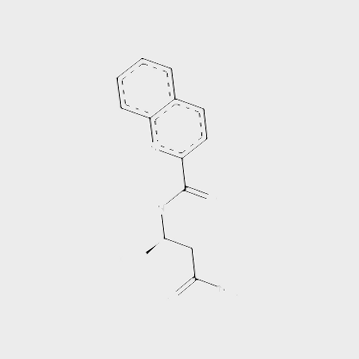 NC(=O)C[C@@H](C=O)NC(=O)c1ccc2ccccc2n1